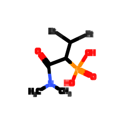 CCC(CC)C(C(=O)N(C)C)P(=O)(O)O